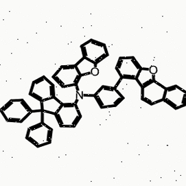 c1ccc(C2(c3ccccc3)c3ccccc3-c3c(N(c4cccc(-c5cccc6oc7c8ccccc8ccc7c56)c4)c4cccc5c4oc4ccccc45)cccc32)cc1